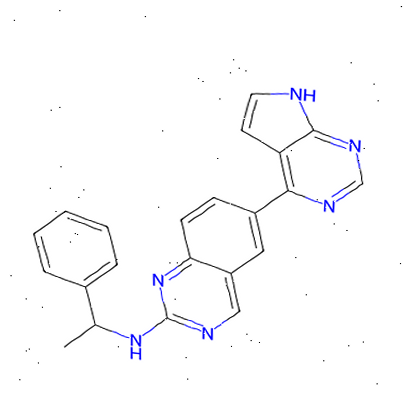 CC(Nc1ncc2cc(-c3ncnc4[nH]ccc34)ccc2n1)c1ccccc1